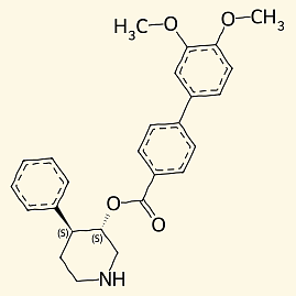 COc1ccc(-c2ccc(C(=O)O[C@@H]3CNCC[C@H]3c3ccccc3)cc2)cc1OC